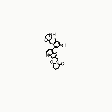 Cc1cc(Cl)cc(-c2ccnc3cc(CN4C(=O)CCCC4=O)sc23)c1CC1CNCCO1